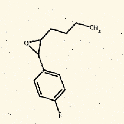 CCCCC1OC1c1ccc(F)cc1